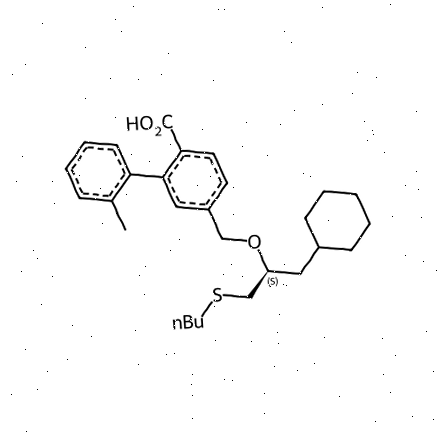 CCCCSC[C@H](CC1CCCCC1)OCc1ccc(C(=O)O)c(-c2ccccc2C)c1